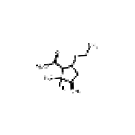 C=C1CB(OCN)C(C(=O)OC)C1(C)C